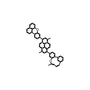 C/C1=C\C=C/c2cccc(c2)-c2ccc(-c3cc(C)c4ccc5c(-c6ccc7c(c6)Oc6cccc8cccc-7c68)cc(C)c6ccc3c4c65)cc2O1